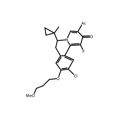 COCCCOc1cc2c(cc1Cl)-c1c(F)c(=O)c(C(C)=O)cn1C(C1(C)CC1)C2